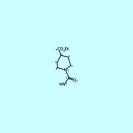 CCOC(=O)C1CCN(C([NH])=O)CC1